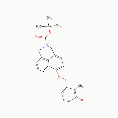 Cc1c(Br)cccc1COc1ccc2c3c(cccc13)CN(C(=O)OC(C)(C)C)C2